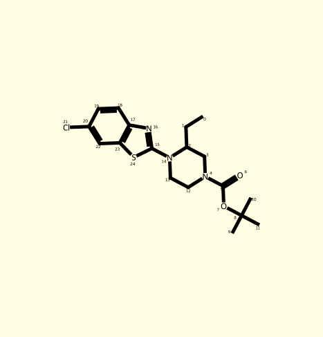 CCC1CN(C(=O)OC(C)(C)C)CCN1c1nc2ccc(Cl)cc2s1